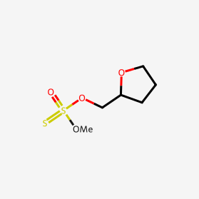 COS(=O)(=S)OCC1CCCO1